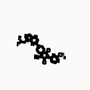 CCN1C(=O)N(c2ccnc(C(F)(F)F)n2)C(=O)C12CCN(c1cnc3cnn(CC(F)F)c3n1)CC2